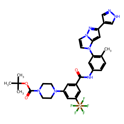 Cc1ccc(NC(=O)c2cc(N3CCN(C(=O)OC(C)(C)C)CC3)cc(S(F)(F)(F)(F)F)c2)cc1-n1ccn2nc(-c3cn[nH]c3)cc12